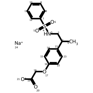 CC(CNS(=O)(=O)c1ccccc1)c1ccc(OCC(=O)[O-])cc1.[Na+]